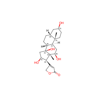 C[C@]12CC[C@H](O)C[C@H]1CC[C@@H]1[C@@H]2C[C@@H](O)[C@]2(C)[C@@H](C3=CC(=O)OC3)[C@@H](O)C[C@]12O